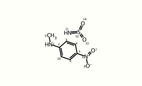 CNc1ccc([N+](=O)[O-])cc1.N=S(=O)=O